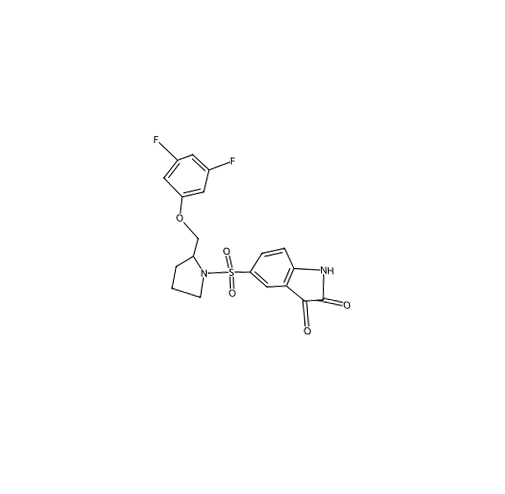 O=C1Nc2ccc(S(=O)(=O)N3CCCC3COc3cc(F)cc(F)c3)cc2C1=O